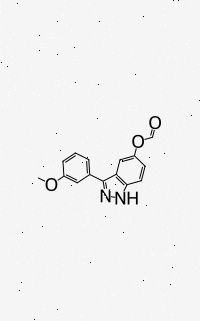 COc1cccc(-c2n[nH]c3ccc(OC=O)cc23)c1